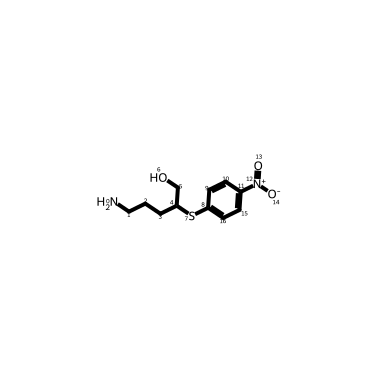 NCCCC(CO)Sc1ccc([N+](=O)[O-])cc1